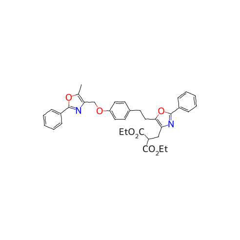 CCOC(=O)C(Cc1nc(-c2ccccc2)oc1CCc1ccc(OCc2nc(-c3ccccc3)oc2C)cc1)C(=O)OCC